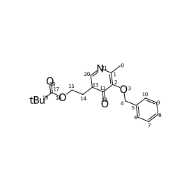 CC1=C(OCc2ccccc2)C(=O)C(CCOC(=O)C(C)(C)C)C=N1